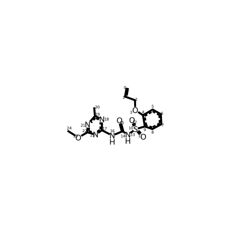 C=CCOc1ccccc1S(=O)(=O)NC(=O)Nc1nc(C)nc(OC)n1